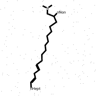 CCCCCCCC=CCC=CCCCCCCCCCC(CCCCCCCCC)CN(C)C